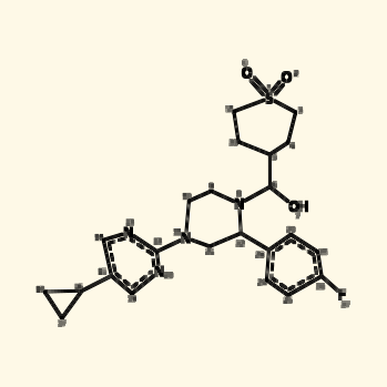 O=S1(=O)CCC(C(O)N2CCN(c3ncc(C4CC4)cn3)CC2c2ccc(F)cc2)CC1